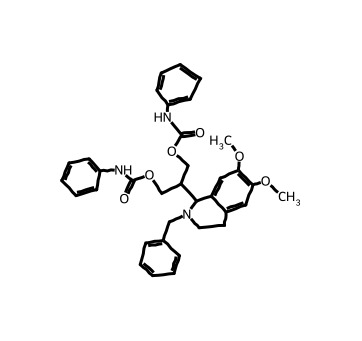 COc1cc2c(cc1OC)C(C(COC(=O)Nc1ccccc1)COC(=O)Nc1ccccc1)N(Cc1ccccc1)CC2